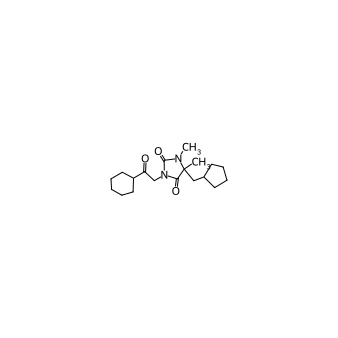 CN1C(=O)N(CC(=O)C2CCCCC2)C(=O)C1(C)CC1CCCC1